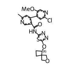 COc1cnc(Cl)cc1-c1cc(C)ncc1C(=O)Nc1nnc(O[C@@H]2CCC23COC3)s1